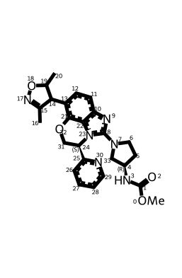 COC(=O)N[C@@H]1CCN(c2nc3ccc(C4C(C)=NOC4C)c4c3n2[C@@H](c2ccccn2)CO4)C1